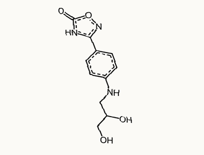 O=c1[nH]c(-c2ccc(NCC(O)CO)cc2)no1